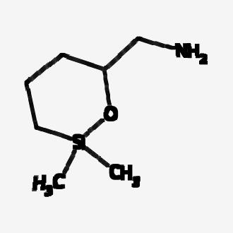 C[Si]1(C)CCCC(CN)O1